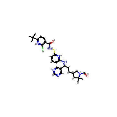 CC(C)(C)c1ccc(C(=O)NSc2cccc(NC(CCC3CN(C=O)C(C)(C)C3)c3cncnc3)n2)c(Cl)n1